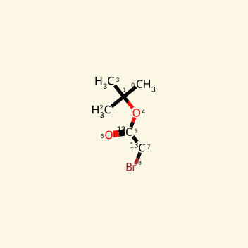 CC(C)(C)O[13C](=O)[13CH2]Br